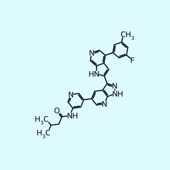 Cc1cc(F)cc(-c2cncc3[nH]c(-c4n[nH]c5ncc(-c6cncc(NC(=O)CC(C)C)c6)cc45)cc23)c1